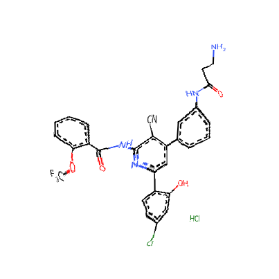 Cl.N#Cc1c(-c2cccc(NC(=O)CCN)c2)cc(-c2ccc(Cl)cc2O)nc1NC(=O)c1ccccc1OC(F)(F)F